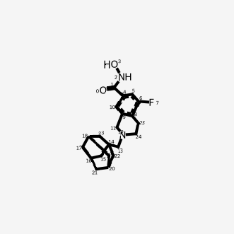 O=C(NO)c1cc(F)c2c(c1)CN(CC13CC4CC(CC(C4)C1)C3)CC2